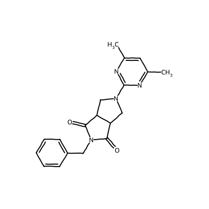 Cc1cc(C)nc(N2CC3C(=O)N(Cc4ccccc4)C(=O)C3C2)n1